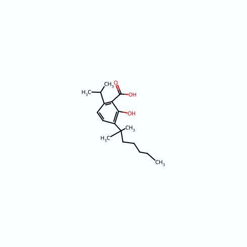 CCCCCC(C)(C)c1ccc(C(C)C)c(C(=O)O)c1O